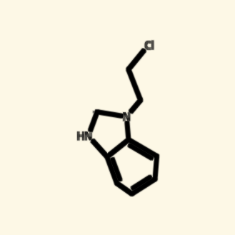 ClCCN1[CH]Nc2ccccc21